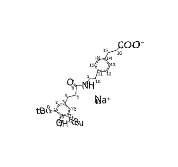 CC(C)(C)c1cc(CCC(=O)NCCc2ccc(CCC(=O)[O-])cc2)cc(C(C)(C)C)c1O.[Na+]